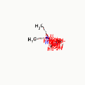 CCCCCCCCCCCCC/C=C/[C@@H](O)[C@H](CO[C@@H]1OC(CO)[C@@H](O[C@@H]2OC(CO)[C@H](O[C@@H]3OC(CO)[C@H](O)[C@H](O[C@@H]4OC(CO)[C@H](O)[C@H](O[C@@H]5OC(CO)[C@H](O)[C@H](O)C5O[C@H]5OC(C)[C@@H](O)C(O)[C@@H]5O)C4NC(C)=O)C3O)[C@H](O)C2O)[C@H](O)C1O)NC(=O)CCCCCCCCCCCCCCC